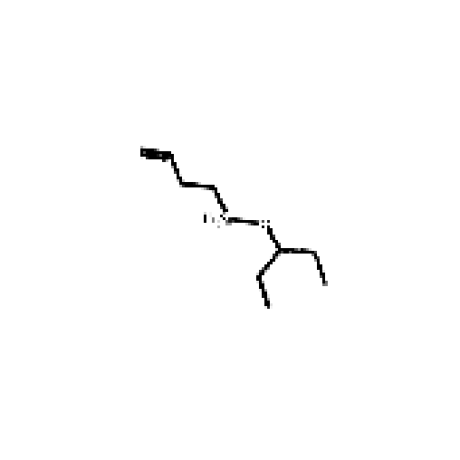 C=CCC[SiH2]OC(CC)CC